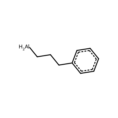 [AlH2][CH2]CCc1ccccc1